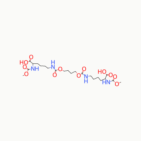 COC(=O)NC(CCCCNC(=O)OCCCCOC(=O)NCCCCC(NC(=O)OC)C(=O)O)C(=O)O